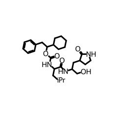 CC(C)CC(NC(=O)OC(Cc1ccccc1)C1CCCCC1)C(=O)NC(CO)CC1CCNC1=O